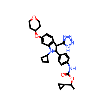 CC(OC(=O)Nc1ccc(C2C(c3nnn[nH]3)c3ccc(OC4CCOCC4)cc3N2C2CCC2)cc1)C1CC1